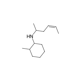 C/C=C\CC(C)NC1CCCCC1C